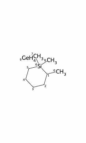 CC1CCCC[Si]1(C)C.[GeH4]